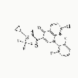 O=C(N[C@@H](C1CC1)C(F)(F)F)c1cn(-c2c(F)cccc2Cl)c2nc(Cl)ccc2c1=O